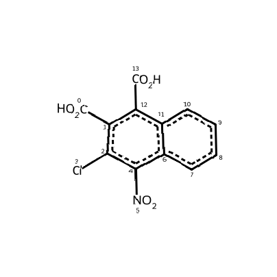 O=C(O)c1c(Cl)c([N+](=O)[O-])c2ccccc2c1C(=O)O